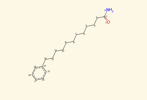 NC(=O)CCCCCCCCCCCc1ccccc1